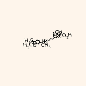 CC(=NOCCCCC1COC(C)(OC(=O)O)OC1)c1ccc2c(C)c(C)oc2c1